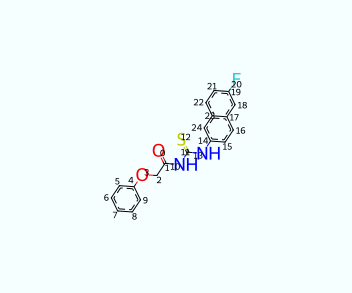 O=C(COc1ccccc1)NC(=S)Nc1ccc2cc(F)ccc2c1